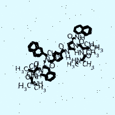 CN[C@@H](C)C(=O)N[C@H](C(=O)N1Cc2ccccc2C[C@H]1CN(C(=O)c1ccc(C(=O)N[C@H]2C[C@@H](C(=O)N[C@@H]3CCCc4ccccc43)N(C(=O)[C@@H](NC(=O)[C@H](C)NC)C(C)(C)C)C2)cc1)[C@H](C)c1ccc2ccccc2c1)C(C)(C)C